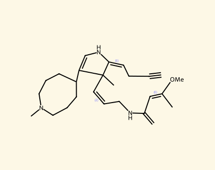 C#CC/C=C1/NC=C(C2CCCN(C)CCC2)C1(C)/C=C\CNC(=C)/C=C(\C)OC